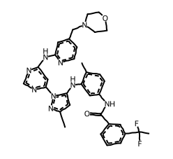 Cc1cc(Nc2cc(NC(=O)c3cccc(C(C)(F)F)c3)ccc2C)n(-c2cc(Nc3cc(CN4CCOCC4)ccn3)ncn2)n1